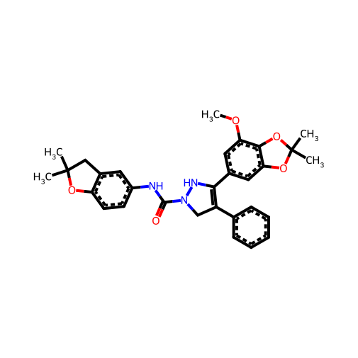 COc1cc(C2=C(c3ccccc3)CN(C(=O)Nc3ccc4c(c3)CC(C)(C)O4)N2)cc2c1OC(C)(C)O2